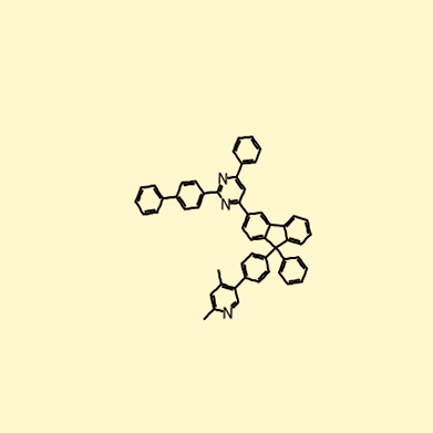 Cc1cc(C)c(-c2ccc(C3(c4ccccc4)c4ccccc4-c4cc(-c5cc(-c6ccccc6)nc(-c6ccc(-c7ccccc7)cc6)n5)ccc43)cc2)cn1